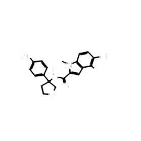 Cn1c(C(=O)NC2(c3ccc(Br)cc3)CCOC2)cc2c(Cl)c(Cl)ccc21